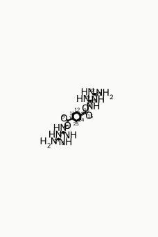 N=C(N)NC(=N)NOC(=O)c1ccc(C(=O)ONC(=N)NC(=N)N)cc1